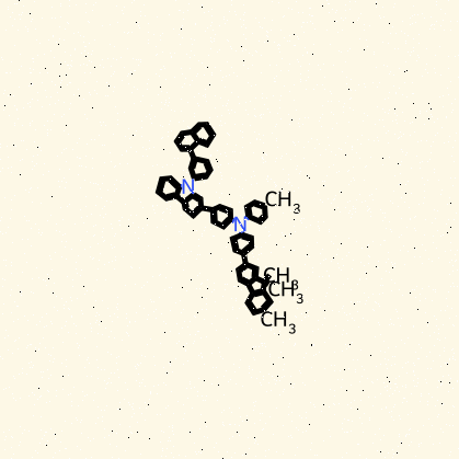 Cc1ccc(N(c2ccc(-c3ccc4c(c3)C(C)(C)c3cc(C)ccc3-4)cc2)c2ccc(-c3ccc4c5ccccc5n(-c5cccc(-c6cccc7ccccc67)c5)c4c3)cc2)cc1